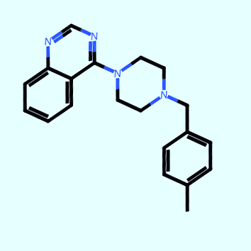 Cc1ccc(CN2CCN(c3ncnc4ccccc34)CC2)cc1